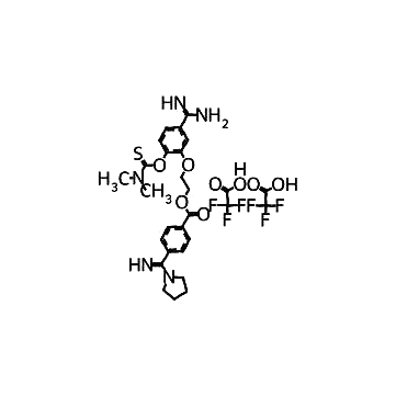 CN(C)C(=S)Oc1ccc(C(=N)N)cc1OCCOC(=O)c1ccc(C(=N)N2CCCC2)cc1.O=C(O)C(F)(F)F.O=C(O)C(F)(F)F